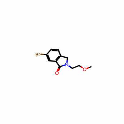 COCCN1Cc2ccc(Br)cc2C1=O